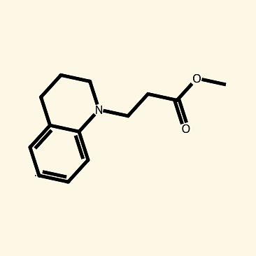 COC(=O)CCN1CCCc2c[c]ccc21